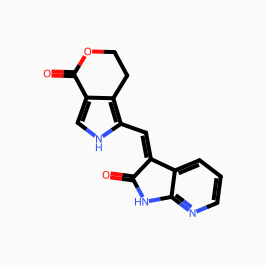 O=C1Nc2ncccc2/C1=C/c1[nH]cc2c1CCOC2=O